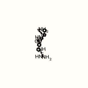 C[C@@H](N)CCCN1C(c2cc3cn(-c4ccc([C@@H]5CCC[C@@H](CCSC(=N)N)N5)cc4)c(=O)nc3[nH]2)CC[C@@H]1c1ccccc1